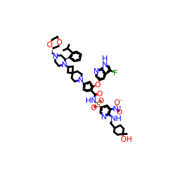 CC(C)c1ccccc1[C@@H]1CN(C[C@H]2COCCO2)CCN1C1CC2(CCN(c3ccc(C(=O)NS(=O)(=O)c4cnc(NCC5CCC(C)(O)CC5)c([N+](=O)[O-])c4)c(Oc4cnc5[nH]cc(F)c5c4)c3)CC2)C1